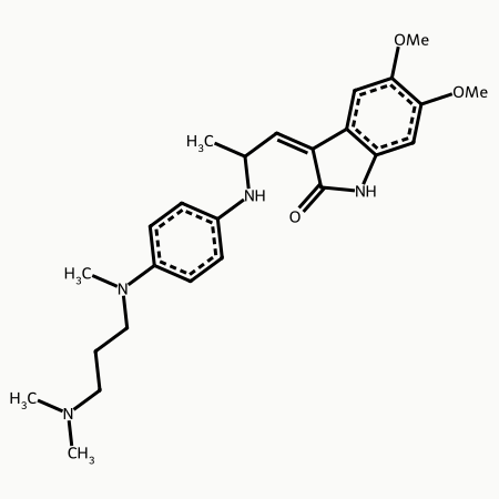 COc1cc2c(cc1OC)C(=CC(C)Nc1ccc(N(C)CCCN(C)C)cc1)C(=O)N2